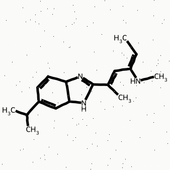 C/C=C(\C=C(/C)C1=NC2C=CC(C(C)C)=CC2N1)NC